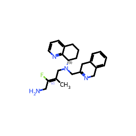 C/C(CN(CC1=NCc2ccccc2C1)[C@H]1CCCc2cccnc21)=C(/F)CN